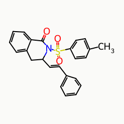 Cc1ccc(S(=O)(=O)N2C(=O)c3ccccc3CC2/C=C/c2ccccc2)cc1